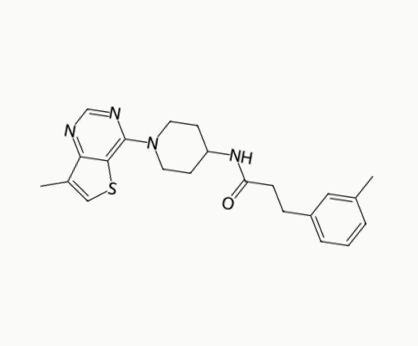 Cc1cccc(CCC(=O)NC2CCN(c3ncnc4c(C)csc34)CC2)c1